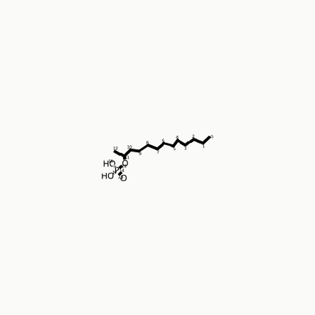 CCCCCCCCCCCC(C)OP(=O)(O)O